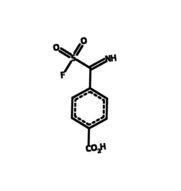 N=C(c1ccc(C(=O)O)cc1)S(=O)(=O)F